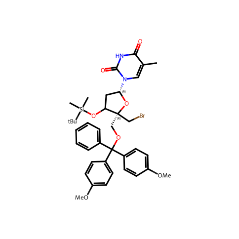 COc1ccc(C(OC[C@@]2(CBr)O[C@@H](n3cc(C)c(=O)[nH]c3=O)CC2O[Si](C)(C)C(C)(C)C)(c2ccccc2)c2ccc(OC)cc2)cc1